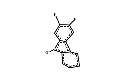 [O-][s+]1c2ccccc2c2cc(F)c(F)cc21